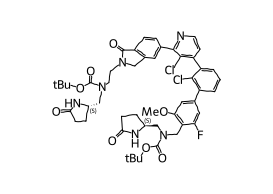 COc1cc(-c2cccc(-c3ccnc(-c4ccc5c(c4)CN(CCN(C[C@@H]4CCC(=O)N4)C(=O)OC(C)(C)C)C5=O)c3Cl)c2Cl)cc(F)c1CN(C[C@@H]1CCC(=O)N1)C(=O)OC(C)(C)C